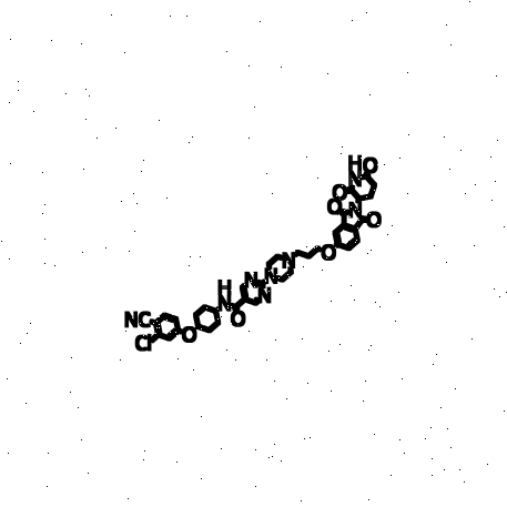 N#Cc1ccc(O[C@H]2CC[C@H](NC(=O)c3cnc(N4CCN(CCCOc5ccc6c(c5)C(=O)N(C5CCC(=O)NC5=O)C6=O)CC4)nc3)CC2)cc1Cl